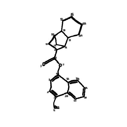 CCC(C)c1ccc(OC(=O)C2CC3CC2C2CCCCC32)c2ccccc12